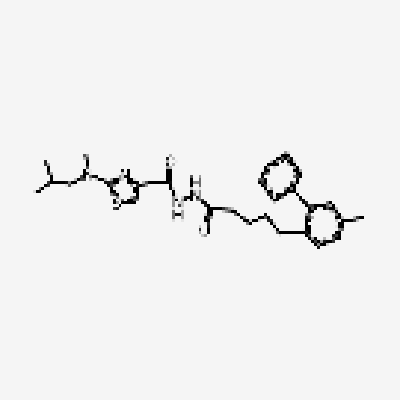 Cc1ccc(CCCCC(=O)NNC(=O)c2csc(N(C)CC(C)C)n2)c(-c2ccccc2)c1